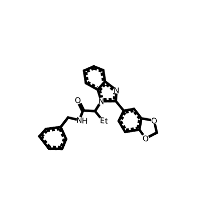 CCC(C(=O)NCc1ccccc1)n1c(-c2ccc3c(c2)OCO3)nc2ccccc21